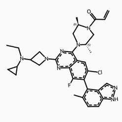 C=CC(=O)N1C[C@H](C)N(c2nc(N3CC(N(CC)C4CC4)C3)nc3c(F)c(-c4c(C)ccc5[nH]ncc45)c(Cl)cc23)C[C@H]1C